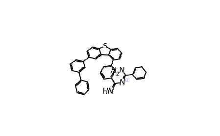 N=C(/N=C(\N)C1=CCCC=C1)c1cccc(-c2cccc3sc4ccc(-c5cccc(-c6ccccc6)c5)cc4c23)c1